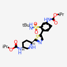 CC(C)OC(=O)Nc1ccc(-c2cnc([C@@H]3CC[C@@H](NC(=O)OC(C)C)CN3)s2)c(S(=O)(=O)NC(C)(C)C)c1